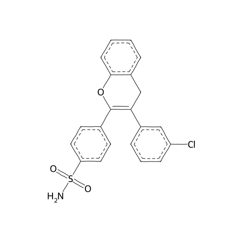 NS(=O)(=O)c1ccc(C2=C(c3cccc(Cl)c3)Cc3ccccc3O2)cc1